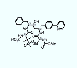 COC(=O)N[C@H](C(=O)N[C@@H](Cc1ccc(-c2ccccn2)cc1)C[C@H](O)[C@H](Cc1ccccc1)NC(=O)[C@@H](NC(=O)O)C(C)(C)S(C)(=O)=O)C(C)(C)C